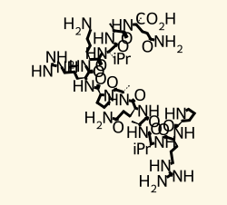 CC(C)[C@H](NC(=O)[C@H](CCCNC(=N)N)NC(=O)[C@@H]1CCCN1)C(=O)N[C@@H](C)C(=O)N[C@@H](CCC(N)=O)C(=O)N[C@@H](C)C(=O)N1CCC[C@H]1C(=O)N[C@@H](CCCNC(=N)N)C(=O)N[C@@H](CCCCN)C(=O)N[C@H](C(=O)N[C@@H](C)C(=O)N[C@@H](CCC(N)=O)C(=O)O)C(C)C